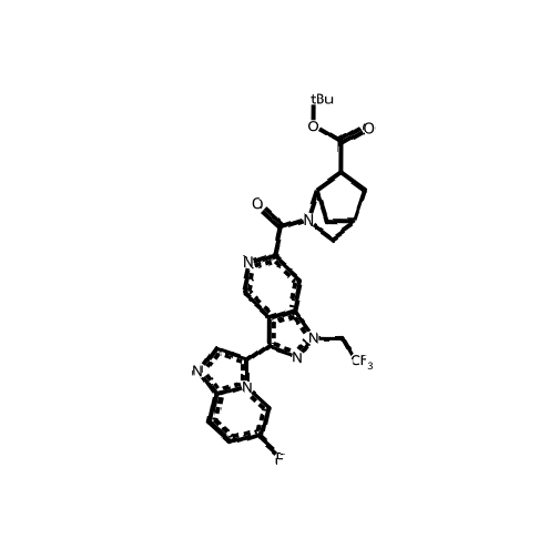 CC(C)(C)OC(=O)C1CC2CC1N(C(=O)c1cc3c(cn1)c(-c1cnc4ccc(F)cn14)nn3CC(F)(F)F)C2